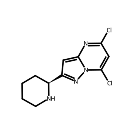 Clc1cc(Cl)n2nc([C@@H]3CCCCN3)cc2n1